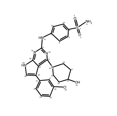 NS(=O)(=O)c1ccc(Nc2nc(N3CCC(O)CC3)c3c(-c4cccc(Cl)c4)c[nH]c3n2)cc1